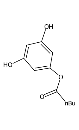 CCCCC(=O)Oc1cc(O)cc(O)c1